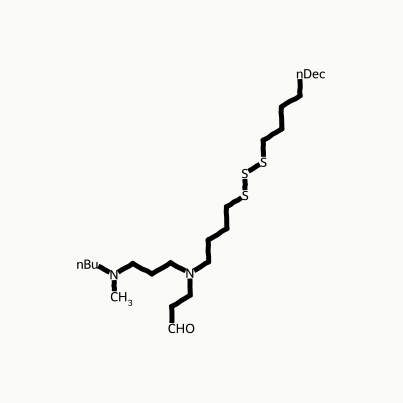 CCCCCCCCCCCCCCSSSCCCCN(CCC=O)CCCN(C)CCCC